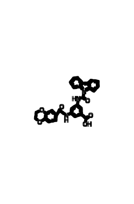 O=C(O)c1cc(NC(=O)c2ccc3c(c2)OCCO3)cc(NC(=O)n2c3ccccc3c3ccccc32)c1